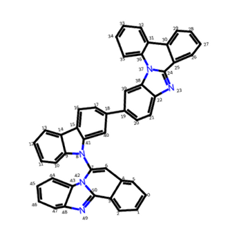 c1ccc2c(c1)cc(-n1c3ccccc3c3ccc(-c4ccc5nc6c7ccccc7c7ccccc7n6c5c4)cc31)n1c3ccccc3nc21